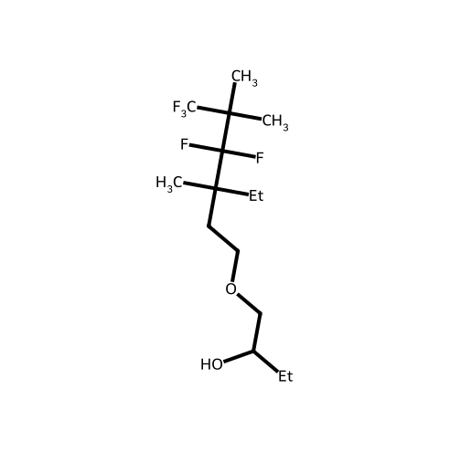 CCC(O)COCCC(C)(CC)C(F)(F)C(C)(C)C(F)(F)F